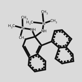 C[Si](C)(C)NC1(N[Si](C)(C)C)CC=c2ccccc2=C1c1cccc2ccccc12